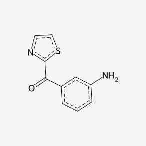 Nc1cccc(C(=O)c2nccs2)c1